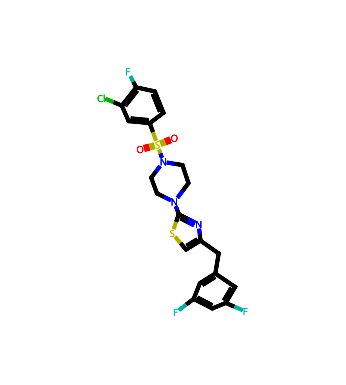 O=S(=O)(c1ccc(F)c(Cl)c1)N1CCN(c2nc(Cc3cc(F)cc(F)c3)cs2)CC1